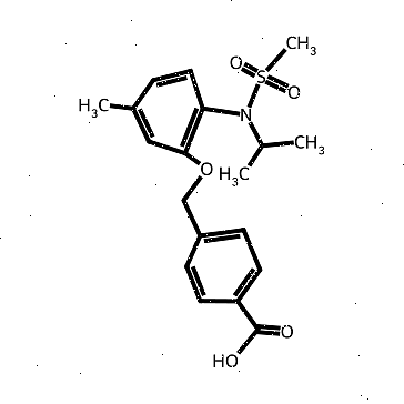 Cc1ccc(N(C(C)C)S(C)(=O)=O)c(OCc2ccc(C(=O)O)cc2)c1